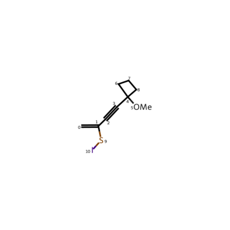 C=C(C#CC1(OC)CCC1)SI